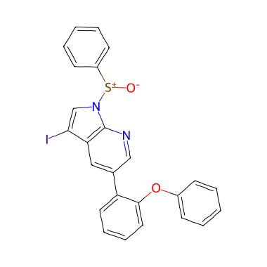 [O-][S+](c1ccccc1)n1cc(I)c2cc(-c3ccccc3Oc3ccccc3)cnc21